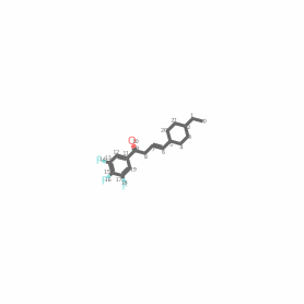 CCC1CCC(C=CCC(=O)c2cc(F)c(F)c(F)c2)CC1